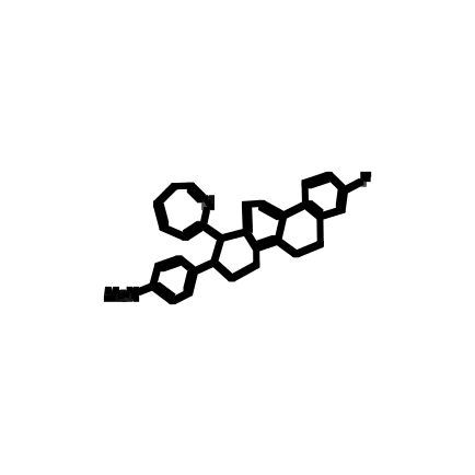 CNc1ccc(C2CCc3c(ccc4c3CCc3cc(F)ccc3-4)C2C2=CC=CCC=N2)cc1